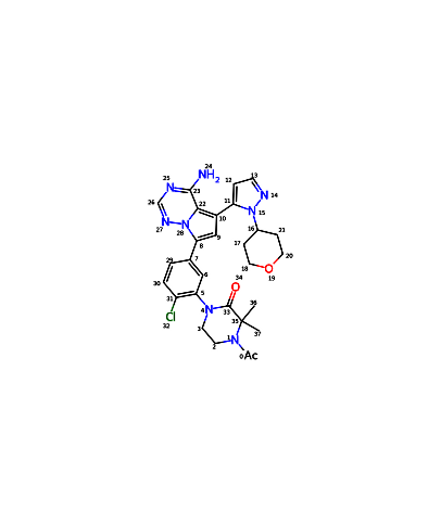 CC(=O)N1CCN(c2cc(-c3cc(-c4ccnn4C4CCOCC4)c4c(N)ncnn34)ccc2Cl)C(=O)C1(C)C